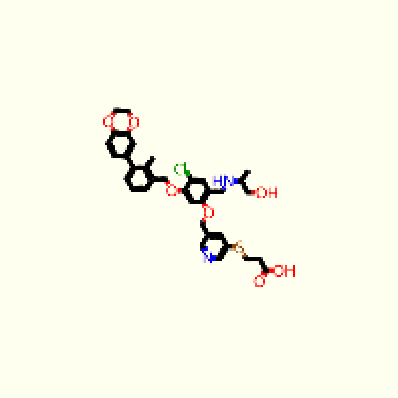 Cc1c(COc2cc(OCc3cncc(SCCC(=O)O)c3)c(CNC(C)CO)cc2Cl)cccc1-c1ccc2c(c1)OCCO2